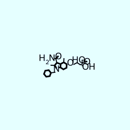 Cc1c(OCCCP(=O)(O)O)ccc2c1c(C(N)=O)c(C)n2Cc1ccccc1